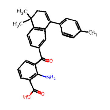 Cc1ccc(C2=CCC(C)(C)c3ccc(C(=O)c4cccc(C(=O)O)c4N)cc32)cc1